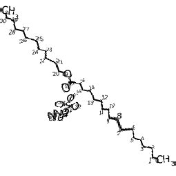 CCCCCCCCCCCCCCCCCC(=O)OCCCCCCCCCCCC.O=S(=O)([O-])[O-].[Na+].[Na+]